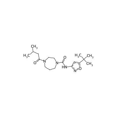 CC(C)CC(=O)N1CCCN(C(=O)Nc2cc(C(C)(C)C)on2)CC1